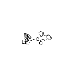 CCO[Si](CCCOC(=O)c1cc2ccccc2c2ccccc12)(OCC)OCC